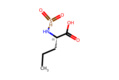 CCC[C@H](N[SH](=O)=O)C(=O)O